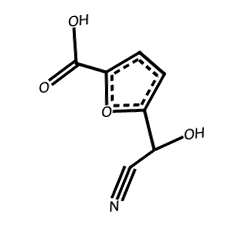 N#CC(O)c1ccc(C(=O)O)o1